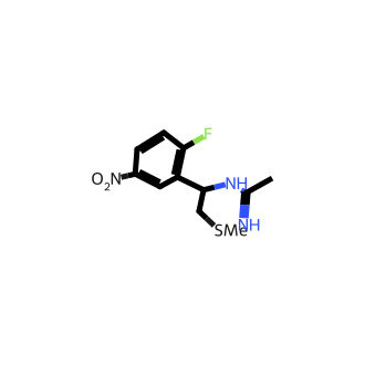 CSCC(NC(C)=N)c1cc([N+](=O)[O-])ccc1F